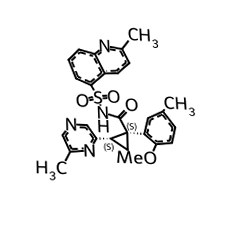 COc1ccc(C)cc1[C@]1(C(=O)NS(=O)(=O)c2cccc3nc(C)ccc23)C[C@@H]1c1cncc(C)n1